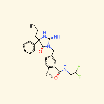 CC(C)CCC1(c2ccccc2)NC(=N)N(Cc2ccc(C(F)(F)F)c(C(=O)NCC(F)F)c2)C1=O